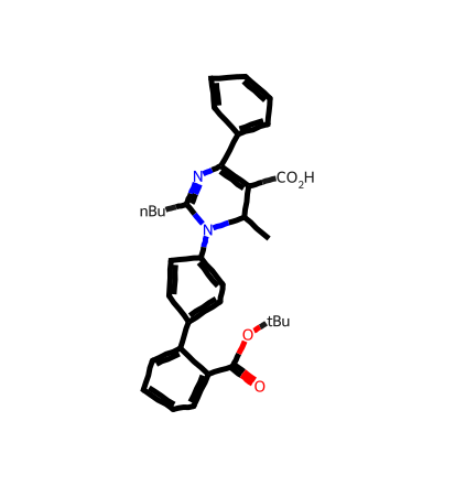 CCCCC1=NC(c2ccccc2)=C(C(=O)O)C(C)N1c1ccc(-c2ccccc2C(=O)OC(C)(C)C)cc1